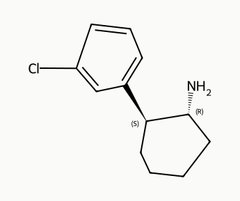 N[C@@H]1CCCC[C@H]1c1cccc(Cl)c1